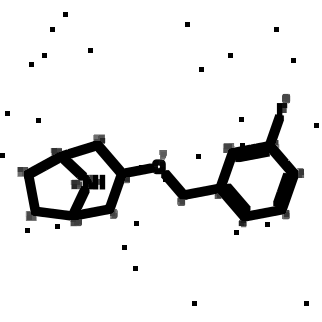 Fc1cccc(COC2CC3CCC(C2)N3)c1